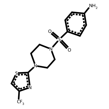 Nc1ccc(S(=O)(=O)N2CCN(c3nc(C(F)(F)F)cs3)CC2)cc1